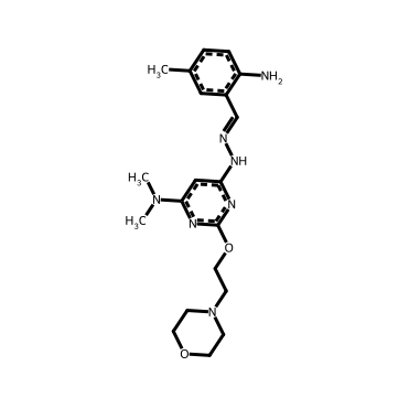 Cc1ccc(N)c(C=NNc2cc(N(C)C)nc(OCCN3CCOCC3)n2)c1